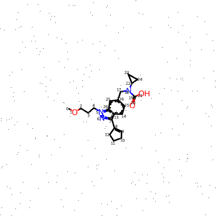 COCCCn1nc(C2=CCCC2)c2ccc(CN(C(=O)O)C3CC3)cc21